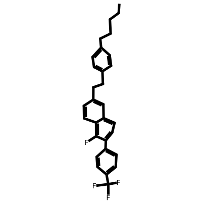 CCCCCc1ccc(CCc2ccc3c(F)c(-c4ccc(C(F)(F)F)cc4)ccc3c2)cc1